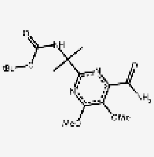 COc1nc(C(C)(C)NC(=O)OC(C)(C)C)nc(C(N)=O)c1OC